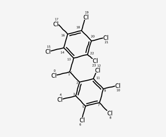 Cl[C](c1c(Cl)c(Cl)c(Cl)c(Cl)c1Cl)c1c(Cl)c(Cl)c(Cl)c(Cl)c1Cl